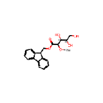 CC(C)(C)OC(C(=O)OCC1c2ccccc2-c2ccccc21)[C@@H](O)[C@H](O)CO